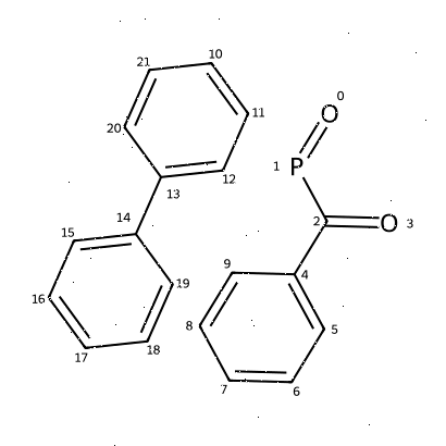 O=PC(=O)c1ccccc1.c1ccc(-c2ccccc2)cc1